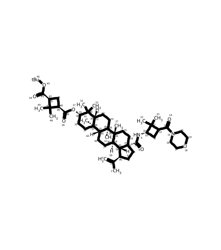 C=C(C)[C@@H]1CC[C@]2(C(=O)N[C@H]3CC(C(=O)N4CCOCC4)C3(C)C)CC[C@]3(C)[C@H](CC[C@@H]4[C@@]5(C)CC[C@H](OC(=O)[C@@H]6C[C@H](C(=O)OC(C)(C)C)C6(C)C)C(C)(C)[C@@H]5CC[C@]43C)[C@@H]12